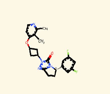 Cc1c(OC2CC(n3nc4n(c3=O)[C@H](c3cc(F)cc(F)c3)CC4)C2)ccnc1C#N